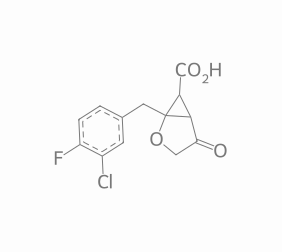 O=C(O)C1C2C(=O)COC12Cc1ccc(F)c(Cl)c1